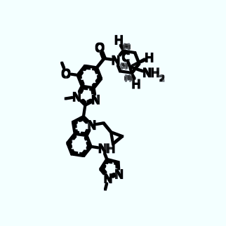 COc1cc(C(=O)N2C[C@H]3CC[C@@H]2C[C@@H]3N)cc2nc(-c3cc4cccc(Nc5cnn(C)c5)c4n3CC3CC3)n(C)c12